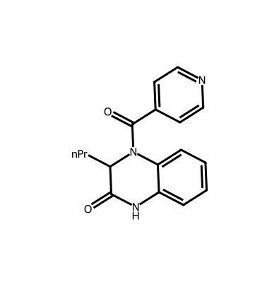 CCCC1C(=O)Nc2ccccc2N1C(=O)c1ccncc1